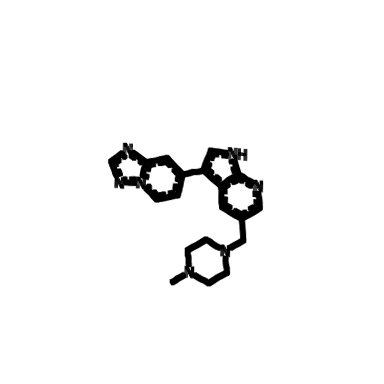 CN1CCN(Cc2cnc3[nH]cc(-c4ccn5ncnc5c4)c3c2)CC1